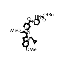 COCc1c(-c2cc3ccc(OC)cc3n2CC2CC2)nc2cc(C(=O)N3CCC[C@@H](NC(=O)OC(C)(C)C)C3)ccn12